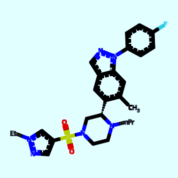 CCCN1CCN(S(=O)(=O)c2cnn(CC)c2)C[C@@H]1c1cc2cnn(-c3ccc(F)cc3)c2cc1C